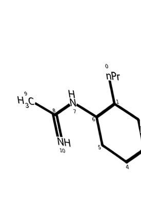 CCCC1CCCCC1NC(C)=N